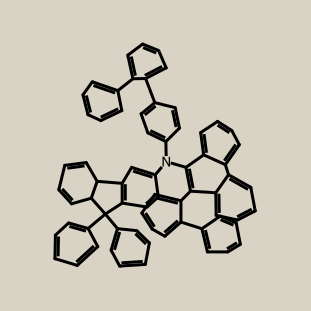 C1=CC2c3cc(N(c4ccc(-c5ccccc5-c5ccccc5)cc4)c4c(-c5ccccc5-c5ccccc5)c5ccccc5c5ccccc45)ccc3C(c3ccccc3)(c3ccccc3)C2C=C1